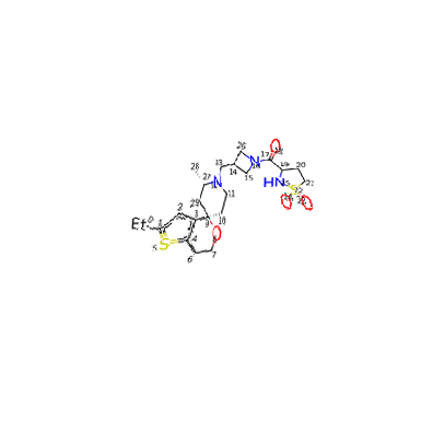 CCc1cc2c(s1)CCO[C@@]21CCN(CC2CN(C(=O)C3CCS(=O)(=O)N3)C2)[C@@H](C)C1